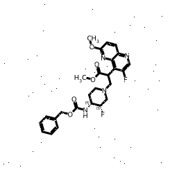 COC(=O)C(CN1CC[C@@H](NC(=O)OCc2ccccc2)[C@@H](F)C1)c1c(F)cnc2ccc(OC)nc12